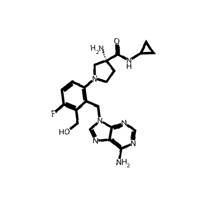 Nc1ncnc2c1ncn2Cc1c(N2CC[C@](N)(C(=O)NC3CC3)C2)ccc(F)c1CO